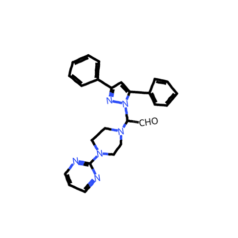 O=CC(N1CCN(c2ncccn2)CC1)n1nc(-c2ccccc2)cc1-c1ccccc1